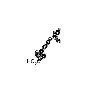 CC([C@H](C)N(C)C(=O)Nc1ccc(N2CCN(c3ccc(OC[C@@H]4CO[C@@](Cn5cncn5)(c5ccc(F)cc5F)O4)cc3)CC2)cc1)N(Cc1ccccc1)C(=O)O